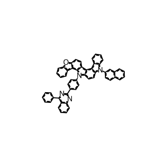 c1ccc(-c2nc(-c3ccc(-n4c5ccc6c(c7ccccc7n6-c6ccc7ccccc7c6)c5c5ccc6oc7ccccc7c6c54)cc3)nc3ccccc23)cc1